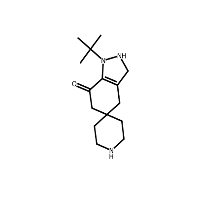 CC(C)(C)N1NCC2=C1C(=O)CC1(CCNCC1)C2